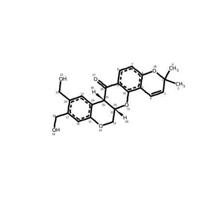 CC1(C)C=Cc2c(ccc3c2O[C@@H]2COc4cc(CO)c(CO)cc4[C@@H]2C3=O)O1